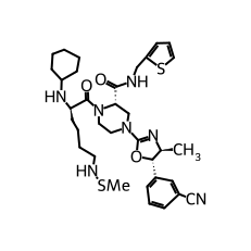 CSNCCCC[C@@H](NC1CCCCC1)C(=O)N1CCN(C2=N[C@@H](C)[C@H](c3cccc(C#N)c3)O2)C[C@H]1C(=O)NCc1cccs1